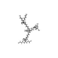 CCCCCC(CCCC)C(=O)OCCCCCCC(O)(CCCCCCOC(=O)C(CCCC)CCCCC)CCCCN(CCC)CCC